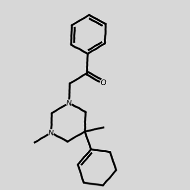 CN1CN(CC(=O)c2ccccc2)CC(C)(C2=CCCCC2)C1